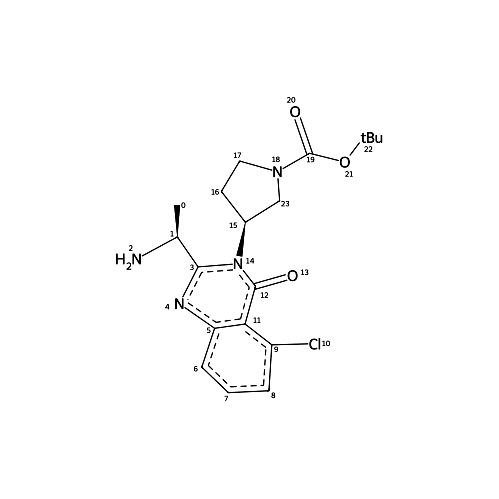 C[C@H](N)c1nc2cccc(Cl)c2c(=O)n1[C@H]1CCN(C(=O)OC(C)(C)C)C1